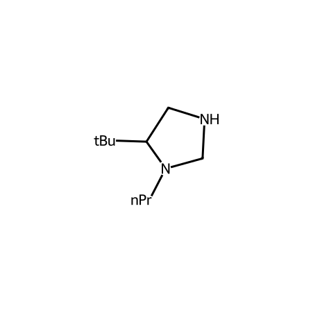 CCCN1CNCC1C(C)(C)C